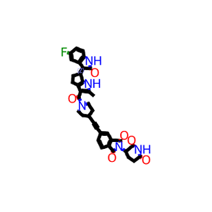 Cc1[nH]c2c(c1C(=O)N1CCC(C#Cc3ccc4c(c3)C(=O)N(C3CCC(=O)NC3=O)C4=O)CC1)CC/C2=C1/C(=O)Nc2ccc(F)cc21